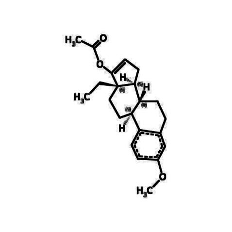 CC[C@]12CC[C@@H]3c4ccc(OC)cc4CC[C@H]3[C@@H]1CC=C2OC(C)=O